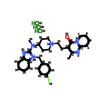 Cc1nc2ccccn2c(=O)c1CCN1CCC(N(C)c2nc3ccccc3n2Cc2ccc(F)cc2)CC1.Cl.Cl.Cl